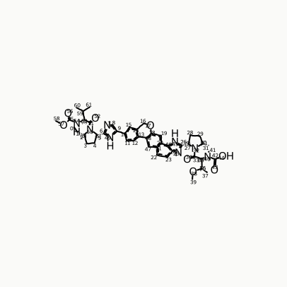 CC[C@H]1CC[C@@H](c2ncc(-c3ccc4c(c3)COc3cc5c(ccc6nc([C@@H]7CC[C@H](C)N7C(=O)[C@H]([C@@H](C)OC)N(C)C(=O)O)[nH]c65)cc3-4)[nH]2)N1C(=O)[C@@H](NC(=O)OC)C(C)C